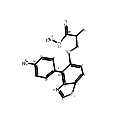 CC(COc1ccc2scnc2c1-c1ccc(C#N)cc1)C(=O)OC(C)(C)C